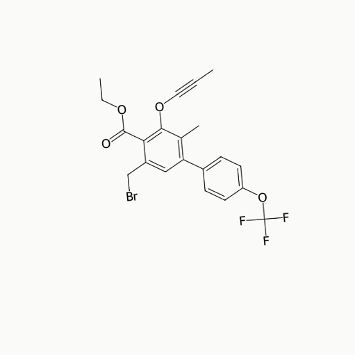 CC#COc1c(C)c(-c2ccc(OC(F)(F)F)cc2)cc(CBr)c1C(=O)OCC